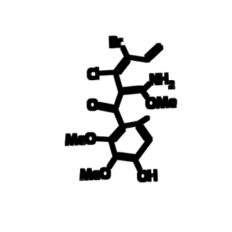 C=C/C(Br)=C(Cl)\C(C(=O)c1c(C)cc(O)c(OC)c1OC)=C(/N)OC